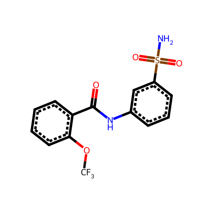 NS(=O)(=O)c1cccc(NC(=O)c2ccccc2OC(F)(F)F)c1